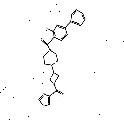 O=C(c1cscn1)N1CC(C2CCN(C(=O)c3ccc(-c4ccccc4)cc3F)CC2)C1